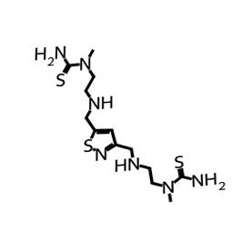 CN(CCNCc1cc(CNCCN(C)C(N)=S)sn1)C(N)=S